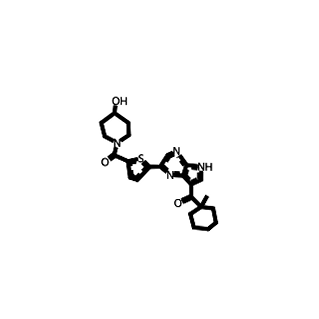 CC1(C(=O)c2c[nH]c3ncc(-c4ccc(C(=O)N5CCC(O)CC5)s4)nc23)CCCCC1